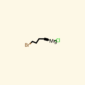 [Cl][Mg][C]#CCCCBr